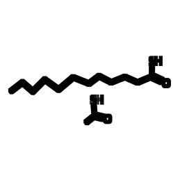 CC(=O)S.CCCCCCCCCCCC(=O)S